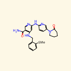 CSc1ccccc1CNc1cc(Nc2ccc(N3CCCCC3=O)cn2)ncc1C(N)=O